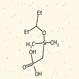 CCC(CC)O[Si](C)(C)CP(=O)(O)O